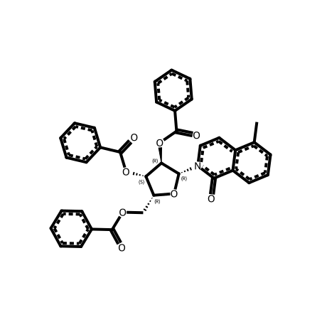 Cc1cccc2c(=O)n([C@@H]3O[C@H](COC(=O)c4ccccc4)[C@H](OC(=O)c4ccccc4)[C@H]3OC(=O)c3ccccc3)ccc12